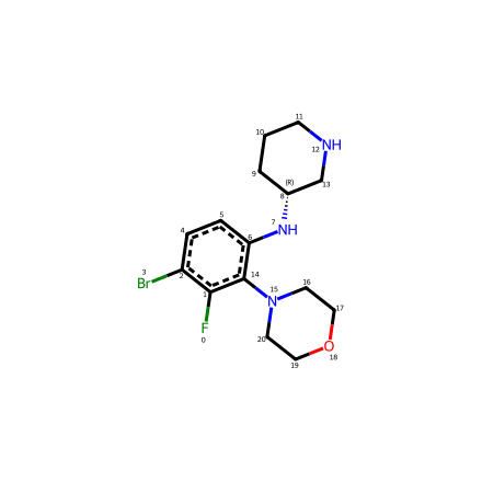 Fc1c(Br)ccc(N[C@@H]2CCCNC2)c1N1CCOCC1